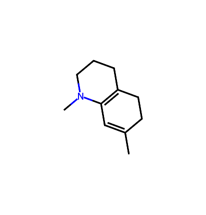 CC1=CC2=C(CCCN2C)CC1